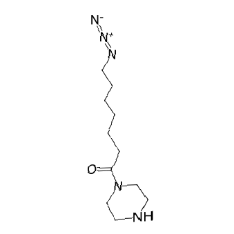 [N-]=[N+]=NCCCCCCC(=O)N1CCNCC1